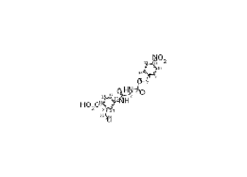 O=C(CNC(=O)OCc1ccc([N+](=O)[O-])cc1)Nc1ccc(C(=O)O)c(CCl)c1